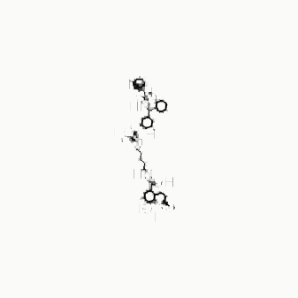 CC(C)(Oc1cccc(C(NC(=O)O[C@H]2CN3CCC2CC3)c2ccccc2)c1)C(=O)OCCCCCNC[C@H](O)c1ccc(O)c2[nH]c(=O)ccc12